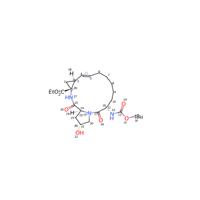 CCOC(=O)[C@@]12C[C@H]1/C=C/CCCCC[C@H](NC(=O)OC(C)(C)C)C(=O)N1C[C@H](O)C[C@H]1C(=O)N2